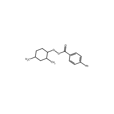 CC1CC[C](OOC(=O)c2ccc(C(C)C)cc2)C(C)C1